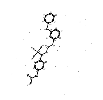 FC(F)Oc1ccc(C(COCc2cccc(Oc3ccccc3)n2)C(F)(F)F)cc1